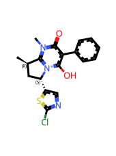 C[C@@H]1C[C@@H](c2cnc(Cl)s2)[n+]2c(O)c(-c3ccccc3)c(=O)n(C)c21